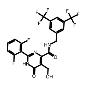 O=C(NCc1cc(C(F)(F)F)cc(C(F)(F)F)c1)c1nc(-c2c(F)cccc2F)[nH]c(=O)c1CO